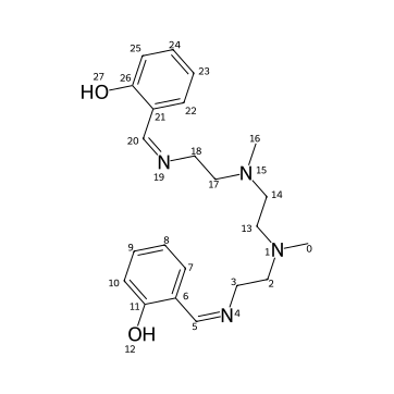 CN(CC/N=C\c1ccccc1O)CCN(C)CC/N=C\c1ccccc1O